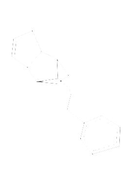 C1=CC2C(C1)C1CCC2C1OCc1ccccc1